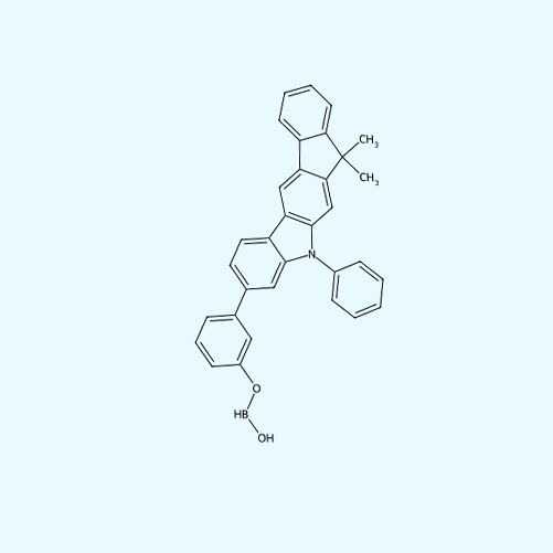 CC1(C)c2ccccc2-c2cc3c4ccc(-c5cccc(OBO)c5)cc4n(-c4ccccc4)c3cc21